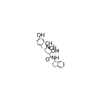 CN(C)[C@@H](Cc1ccc(O)cc1)CC(O)C(=O)NC1CCc2ccccc21